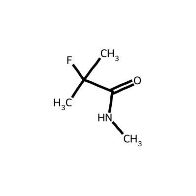 CNC(=O)C(C)(C)F